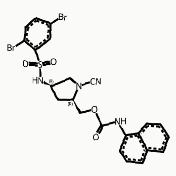 N#CN1C[C@H](NS(=O)(=O)c2cc(Br)ccc2Br)C[C@@H]1COC(=O)Nc1cccc2ccccc12